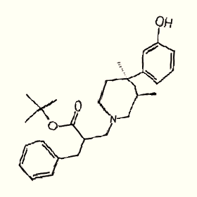 C[C@H]1CN(CC(Cc2ccccc2)C(=O)OC(C)(C)C)CC[C@@]1(C)c1cccc(O)c1